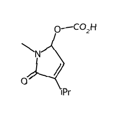 CC(C)C1=CC(OC(=O)O)N(C)C1=O